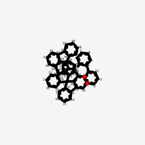 c1ccc(-c2ccccc2N(c2cccc3c2C2(c4ccccc4-c4ccccc42)c2ccccc2-3)c2ccc3cccc4c3c2-c2ccccc2-4)cc1